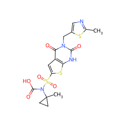 Cc1ncc(Cn2c(=O)[nH]c3sc(S(=O)(=O)N(C(=O)O)C4(C)CC4)cc3c2=O)s1